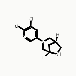 Clc1cc(N2C[C@@H]3CN[C@@H](C3)C2)cnc1Cl